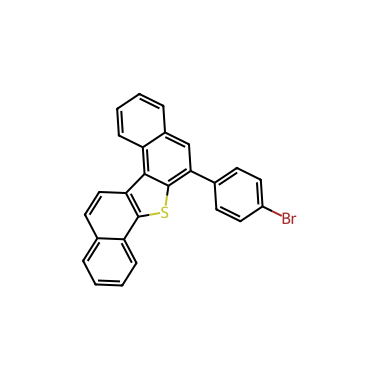 Brc1ccc(-c2cc3ccccc3c3c2sc2c4ccccc4ccc23)cc1